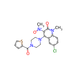 Cn1c(=O)c([N+](C)=O)c(N2CCN(C(=O)c3cccs3)CC2)c2cc(Cl)ccc21